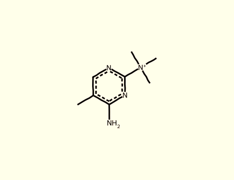 Cc1cnc([N+](C)(C)C)nc1N